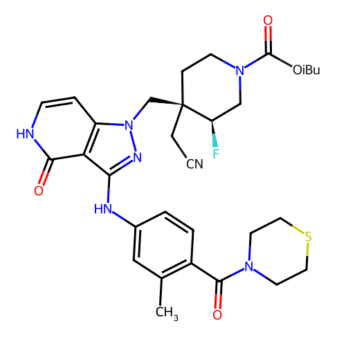 Cc1cc(Nc2nn(C[C@@]3(CC#N)CCN(C(=O)OCC(C)C)C[C@H]3F)c3cc[nH]c(=O)c23)ccc1C(=O)N1CCSCC1